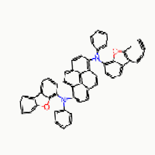 C#C/C=C\c1c(C)oc2c(N(c3ccccc3)c3ccc4ccc5c(N(c6ccccc6)c6cccc7c6oc6ccccc67)ccc6ccc3c4c65)cccc12